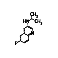 CC(C)Nc1cnc2ccc(F)cc2c1